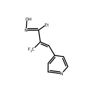 CCC(=N\O)/C(=C/c1ccncc1)C(F)(F)F